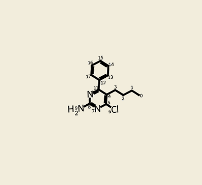 CCCCc1c(Cl)nc(N)nc1-c1ccccc1